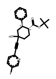 CC(C)(C)OC(=O)[C@@H]1CCC(O)(C#Cc2ccc(F)cn2)C[C@H]1c1ccccc1